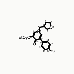 CCOC(=O)c1cn(CC2CCOC2)cc(-c2ccc(F)cc2)c1=O